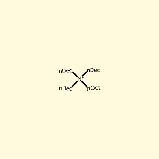 CCCCCCCCCC[N+](CCCCCCCC)(CCCCCCCCCC)CCCCCCCCCC